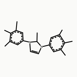 Cc1cc(N2C=CN(c3cc(C)c(C)c(C)c3)C2C)cc(C)c1C